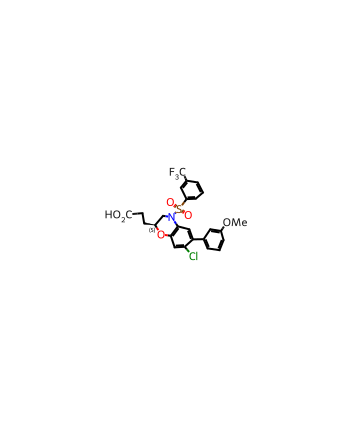 COc1cccc(-c2cc3c(cc2Cl)O[C@@H](CCC(=O)O)CN3S(=O)(=O)c2cccc(C(F)(F)F)c2)c1